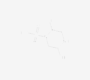 CC1CN(S(C)(=O)=O)C(C)CN1